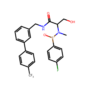 CN(C(CO)C(=O)NCc1cccc(-c2ccc(C(F)(F)F)cc2)c1)[S+]([O-])c1ccc(F)cc1